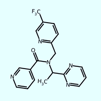 CC(c1ncccn1)N(Cc1ccc(C(F)(F)F)cn1)C(=O)c1cccnc1